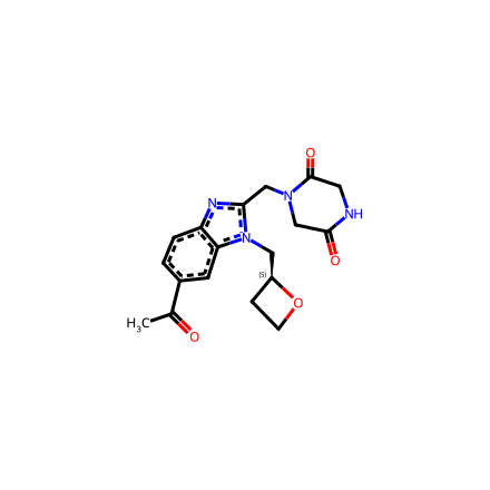 CC(=O)c1ccc2nc(CN3CC(=O)NCC3=O)n(C[C@@H]3CCO3)c2c1